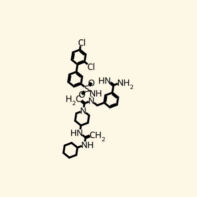 C=C(NC1CCCCC1)NC1CCN(C(=C)N(Cc2cccc(C(=N)N)c2)NS(=O)(=O)c2cccc(-c3ccc(Cl)cc3Cl)c2)CC1